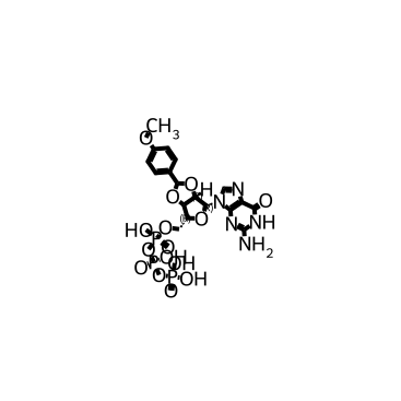 COc1ccc(C2OC3[C@@H](COP(=O)(O)OP(=O)(O)OP(=O)(O)O)O[C@@H](n4cnc5c(=O)[nH]c(N)nc54)[C@H]3O2)cc1